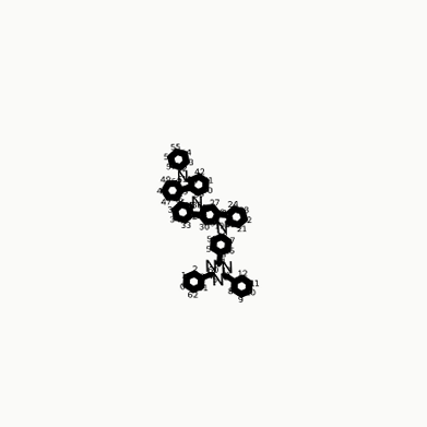 c1ccc(-c2nc(-c3ccccc3)nc(-c3ccc(-n4c5ccccc5c5cc6c(cc54)c4ccccc4n6-c4cccc5c4c4ccccc4n5-c4ccccc4)cc3)n2)cc1